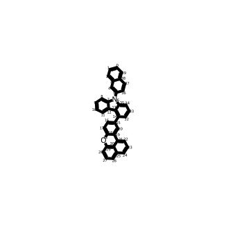 c1ccc2cc(-n3c4ccccc4c4c(-c5ccc6c(c5)-c5cccc7cccc(c57)O6)cccc43)ccc2c1